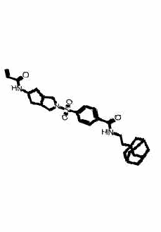 C=CC(=O)NC1CC2CN(S(=O)(=O)c3ccc(C(=O)NCCC45CC6CC(CC(C6)C4)C5)cc3)CC2C1